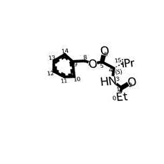 CCC(=O)N[C@H](C(=O)OCc1ccccc1)C(C)C